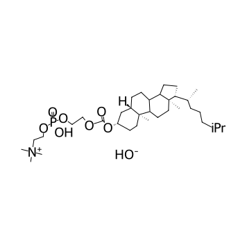 CC(C)CCC[C@@H](C)[C@H]1CCC2C3CC[C@H]4C[C@@H](OC(=O)OCCOP(=O)(O)OCC[N+](C)(C)C)CC[C@]4(C)C3CC[C@@]21C.[OH-]